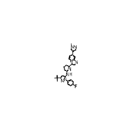 Cn1cc(-c2ccn3c(-c4cccc(Nc5cc(C(C)(C)C)nn5-c5ccc(F)cc5)n4)cnc3c2)cn1